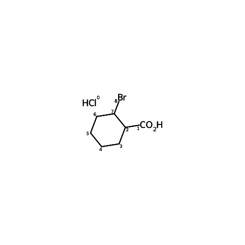 Cl.O=C(O)C1CCCCC1Br